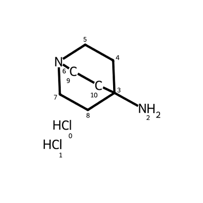 Cl.Cl.NC12CCN(CC1)CC2